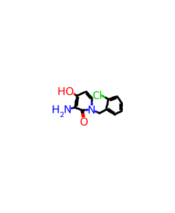 Nc1c(O)ccn(Cc2ccccc2Cl)c1=O